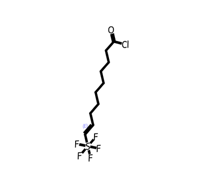 O=C(Cl)CCCCCCC/C=C/S(F)(F)(F)(F)F